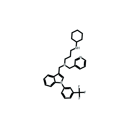 FC(F)(F)c1cccc(-n2cc(CN(CCCNC3CCCCC3)Cc3cccnc3)c3ccccc32)c1